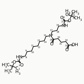 CC(C)(C)OC(=O)NCCCCCCCCN(CCCNC(=O)OC(C)(C)C)C(=O)CCCC(=O)O